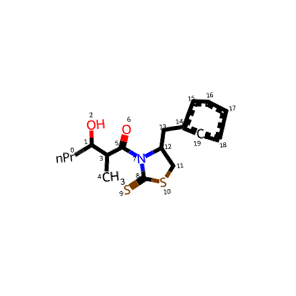 CCCC(O)C(C)C(=O)N1C(=S)SCC1Cc1ccccc1